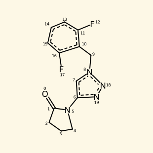 O=C1CCCN1c1cn(Cc2c(F)cccc2F)nn1